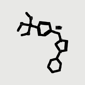 Br.CO[Si](OC)(OC)c1ccc(CN2C=CN(C3CCCCC3)C2)cc1